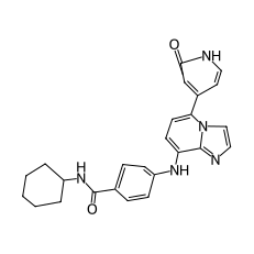 O=C(NC1CCCCC1)c1ccc(Nc2ccc(-c3cc[nH]c(=O)c3)n3ccnc23)cc1